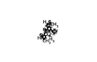 CCCc1cc(C)[nH]c(=O)c1CNC(=O)c1cc(-c2cccnc2)cc2c1ccn2C(C)C